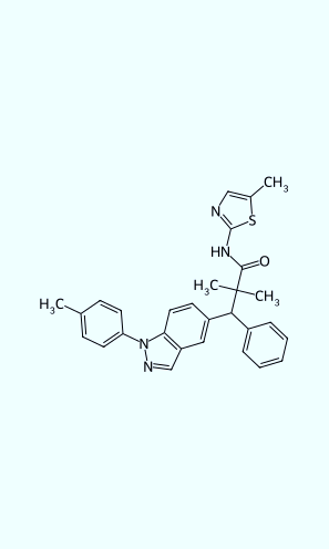 Cc1ccc(-n2ncc3cc(C(c4ccccc4)C(C)(C)C(=O)Nc4ncc(C)s4)ccc32)cc1